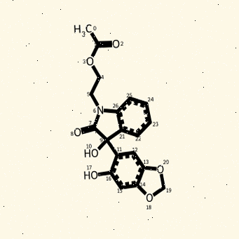 CC(=O)OCCN1C(=O)C(O)(c2cc3c(cc2O)OCO3)c2ccccc21